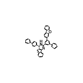 c1ccc(-c2ccc(C3NC(c4cc(-c5ccccc5)cc(-c5ccc6c(c5)oc5ccccc56)c4)=Nc4c3sc3ccccc43)cc2)cc1